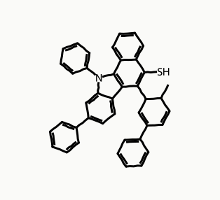 CC1C=CC(c2ccccc2)=CC1c1c(S)c2ccccc2c2c1c1ccc(-c3ccccc3)cc1n2-c1ccccc1